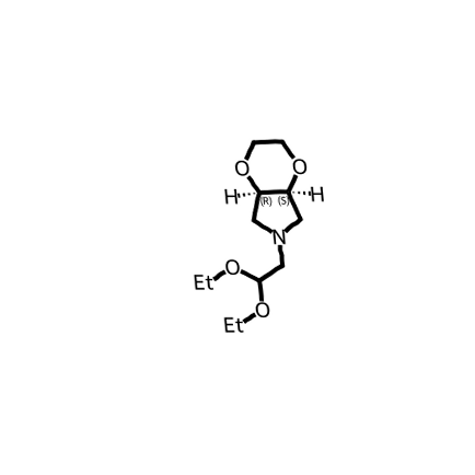 CCOC(CN1C[C@@H]2OCCO[C@@H]2C1)OCC